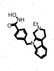 CCN1CCc2c(n(Cc3ccc(C(=O)NO)cc3)c3ccccc23)C1